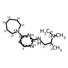 CC(CNc1nccc(N2CCCCCC2)n1)N(C)C